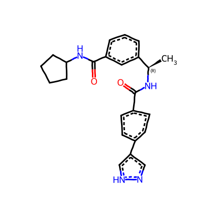 C[C@@H](NC(=O)c1ccc(-c2cn[nH]c2)cc1)c1cccc(C(=O)NC2CCCC2)c1